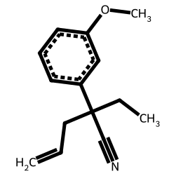 C=CCC(C#N)(CC)c1cccc(OC)c1